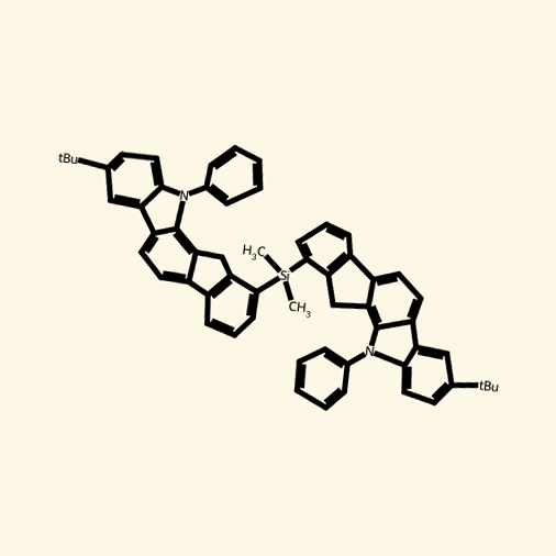 CC(C)(C)c1ccc2c(c1)c1ccc3c(c1n2-c1ccccc1)Cc1c-3cccc1[Si](C)(C)c1cccc2c1Cc1c-2ccc2c3cc(C(C)(C)C)ccc3n(-c3ccccc3)c12